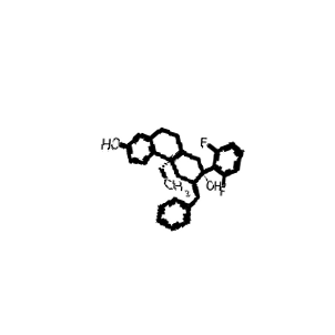 CC[C@@]12C/C(=C\c3ccccc3)[C@](O)(c3c(F)cccc3F)CC1CCc1cc(O)ccc12